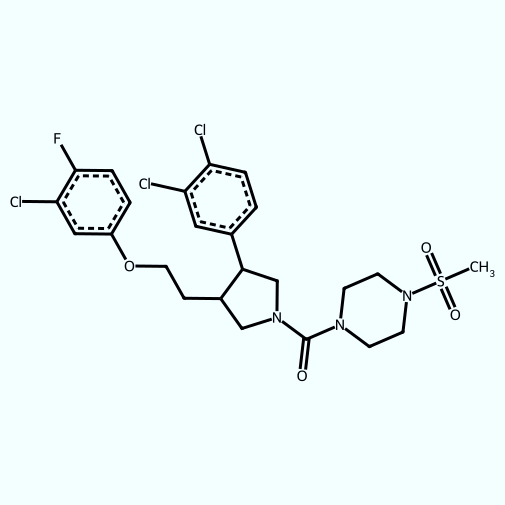 CS(=O)(=O)N1CCN(C(=O)N2CC(CCOc3ccc(F)c(Cl)c3)C(c3ccc(Cl)c(Cl)c3)C2)CC1